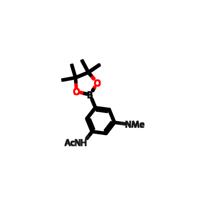 CNc1cc(NC(C)=O)cc(B2OC(C)(C)C(C)(C)O2)c1